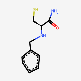 NC(=O)[C@H](CS)NCc1ccccc1